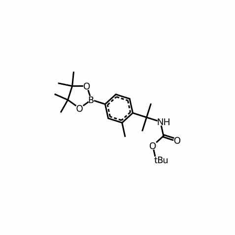 Cc1cc(B2OC(C)(C)C(C)(C)O2)ccc1C(C)(C)NC(=O)OC(C)(C)C